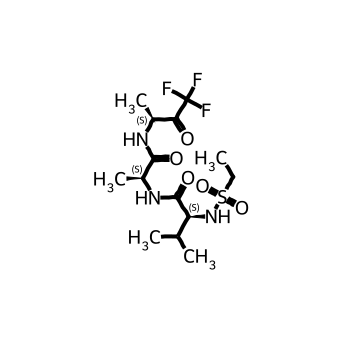 CCS(=O)(=O)N[C@H](C(=O)N[C@@H](C)C(=O)N[C@@H](C)C(=O)C(F)(F)F)C(C)C